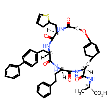 C[C@H](NC(=O)[C@@H]1CC2C=CC(=CC2)OCC(=O)N[C@H](CC2CC=CS2)C(=O)N[C@@H](Cc2ccc(-c3ccccc3)cc2)C(=O)N[C@H](CCc2ccccc2)C(=O)N1)C(=O)O